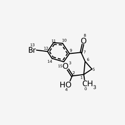 CC1(C(=O)O)CC1C(=O)c1ccc(Br)cc1